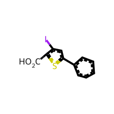 O=C(O)c1sc(-c2ccccc2)cc1I